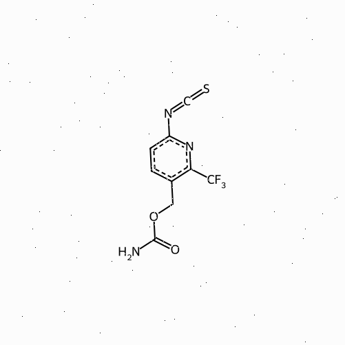 NC(=O)OCc1ccc(N=C=S)nc1C(F)(F)F